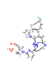 O[C@H]1CN(c2cccc(-c3cnc4ccc(N5CCC[C@@H]5c5cccc(F)c5)nn34)n2)C[C@@H]1O